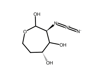 [N-]=[N+]=N[C@@H]1C(O)OCC[C@@H](O)C1O